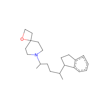 CC(CCC(C)N1CCC2(CCO2)CC1)C1CCc2ccccc21